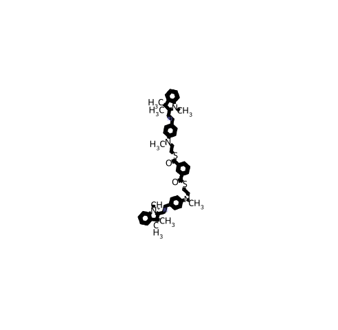 CN(CCSC(=O)c1cccc(C(=O)SCCN(C)c2ccc(/C=C/C3N(C)c4ccccc4C3(C)C)cc2)c1)c1ccc(/C=C/C2=[N+](C)c3ccccc3C2(C)C)cc1